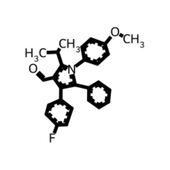 COc1ccc(-n2c(-c3ccccc3)c(-c3ccc(F)cc3)c(C=O)c2C(C)C)cc1